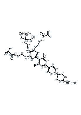 C=C(C)C(=O)OCCCc1cc(-c2c(F)cc(C3=CCC(C4CCC(CCCCC)CC4)C=C3)cc2F)cc(CCCOC(=O)C(=C)C)c1OCCC(CO)(CO)CCC